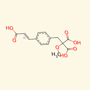 COC(Cc1ccc(/C=C/C(=O)O)cc1)(C(=O)O)C(=O)O